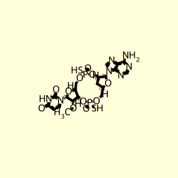 CO[C@@H]1[C@@H]2OP(=O)(S)OC[C@@H]3C[C@@H](OP(=O)(S)OC[C@H]2O[C@H]1n1ccc(=O)[nH]c1=O)[C@H](n1cnc2c(N)ncnc21)O3